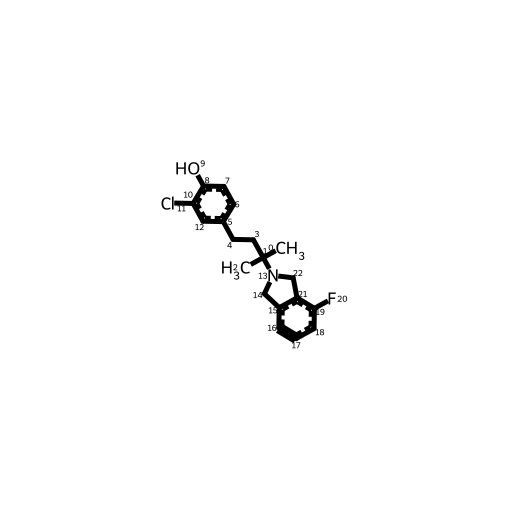 CC(C)(CCc1ccc(O)c(Cl)c1)N1Cc2c#ccc(F)c2C1